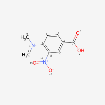 CN(C)c1ccc(C(=O)O)cc1[N+](=O)[O-]